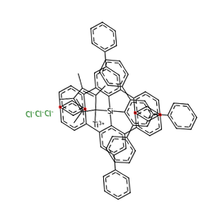 CC1=C(C)[C]([Ti+3])([Si](c2c(-c3ccccc3)cc(-c3ccccc3)cc2-c2ccccc2)(c2c(-c3ccccc3)cc(-c3ccccc3)cc2-c2ccccc2)c2c(-c3ccccc3)cc(-c3ccccc3)cc2-c2ccccc2)C(C)=C1C.[Cl-].[Cl-].[Cl-]